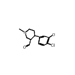 CN1CCC(c2ccc(Cl)c(Cl)c2)C(C=O)C1